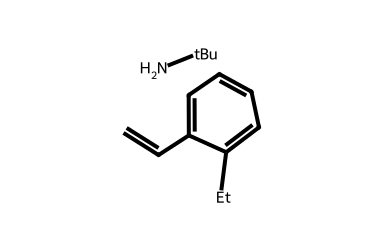 C=Cc1ccccc1CC.CC(C)(C)N